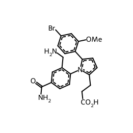 COc1cc(Br)ccc1-c1ccc(CCC(=O)O)n1-c1ccc(C(N)=O)cc1CN